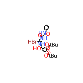 Br.CC(C)(CNC(=O)CNC(=O)c1ccccc1)NCC(O)c1ccc(OC(=O)C(C)(C)C)c(OC(=O)C(C)(C)C)c1